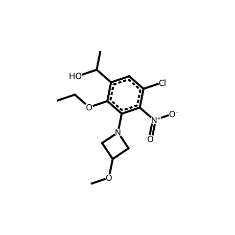 CCOc1c(C(C)O)cc(Cl)c([N+](=O)[O-])c1N1CC(OC)C1